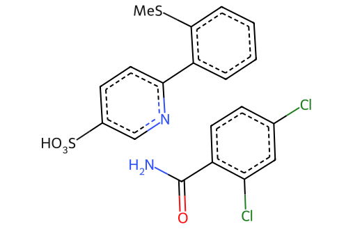 CSc1ccccc1-c1ccc(S(=O)(=O)O)cn1.NC(=O)c1ccc(Cl)cc1Cl